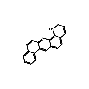 C1=Cc2ccc3cc4c(ccc5ccccc54)nc3c2NC1